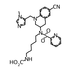 Cn1cncc1CN1CC(N(CCCCCNC(=O)O)S(=O)(=O)c2ccccn2)Cc2cc(C#N)ccc21